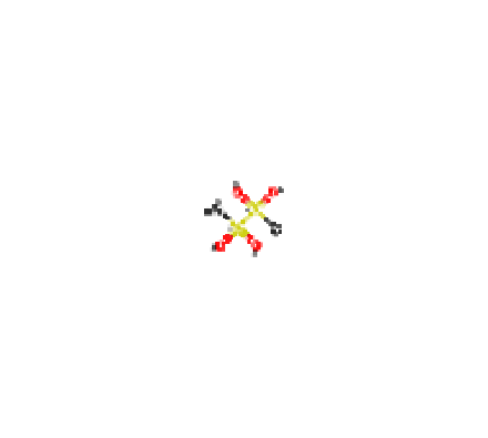 CCCS(=O)(=O)S(=O)(=O)CC